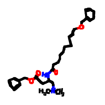 CN(C)CC(CC(=O)OCc1ccccc1)NC(=O)CCCCCCCCCOCc1ccccc1